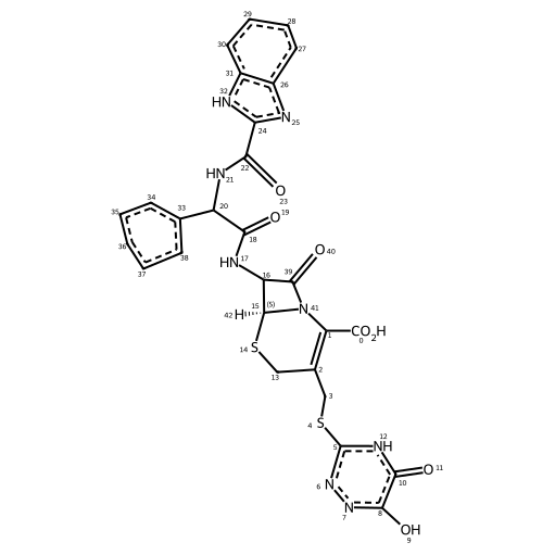 O=C(O)C1=C(CSc2nnc(O)c(=O)[nH]2)CS[C@H]2C(NC(=O)C(NC(=O)c3nc4ccccc4[nH]3)c3ccccc3)C(=O)N12